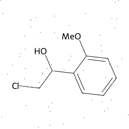 COc1ccccc1C(O)CCl